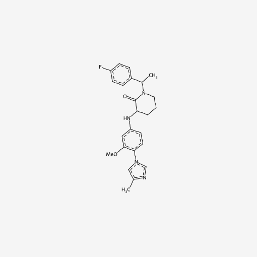 COc1cc(NC2CCCN(C(C)c3ccc(F)cc3)C2=O)ccc1-n1cnc(C)c1